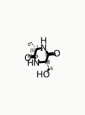 C[C@@H]1NC(=O)[C@H](CO)NC1=O